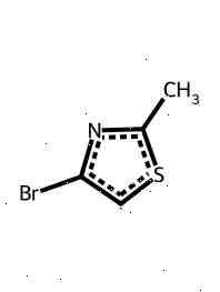 Cc1nc(Br)[c]s1